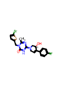 CC1=NC(N2CC=C(c3ccc(F)cc3)[C@@H](O)C2)NC(=O)N1Cc1ccc(Br)s1